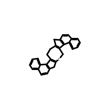 c1ccc2c3c(ccc2c1)CC1=C3CCC2=C(CC1)c1c(ccc3ccccc13)C2